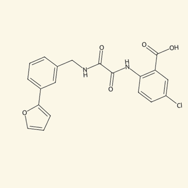 O=C(NCc1cccc(-c2ccco2)c1)C(=O)Nc1ccc(Cl)cc1C(=O)O